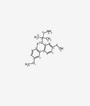 COc1ccc(F)c(-c2ccc(CO)cc2OC(C)(C)CN)c1